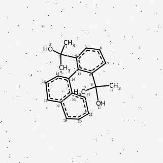 CC(C)(O)c1cccc(C(C)(C)O)c1-c1cccc2ccccc12